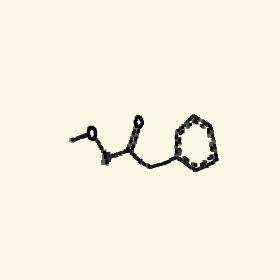 CO[N]C(=O)Cc1ccccc1